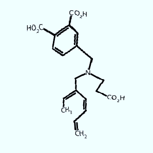 C=C/C=C\C(=C/C)CN(CCC(=O)O)Cc1ccc(C(=O)O)c(C(=O)O)c1